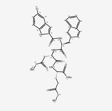 COC(=O)[C@H](CCC(=O)OC(C)(C)C)NC(=O)[C@H](CC(=O)OC(C)(C)C)NC(=O)[C@H](Cc1ccc2ccccc2c1)NC(=O)c1cc2cc(Cl)ccc2[nH]1